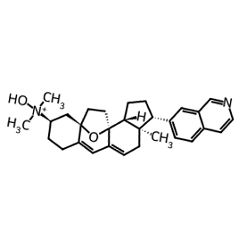 C[C@]12CC=C3C=C4CC[C@@H]([N+](C)(C)O)C[C@]45CC[C@]3(O5)[C@@H]1CC[C@@H]2c1ccc2ccncc2c1